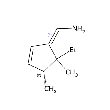 CCC1(C)/C(=C\N)C=C[C@H]1C